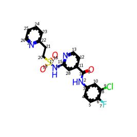 O=C(Nc1ccc(F)c(Cl)c1)c1ccnc(NS(=O)(=O)CCc2ccccn2)c1